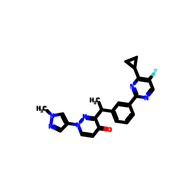 CC(c1cccc(-c2ncc(F)c(C3CC3)n2)c1)c1nn(-c2cnn(C)c2)ccc1=O